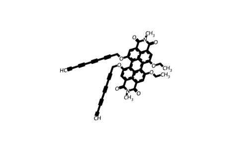 C#CC#CC#CC#CCOc1cc2c3c(cc(OCC)c4c5c(OCC)cc6c7c(cc(OCC#CC#CC#CC#C)c(c1c34)c75)C(=O)N(C)C6=O)C(=O)N(C)C2=O